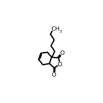 CCCCCC12CC=CCC1C(=O)OC2=O